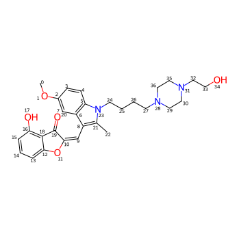 COc1ccc2c(c1)c(C=C1Oc3cccc(O)c3C1=O)c(C)n2CCCCN1CCN(CCO)CC1